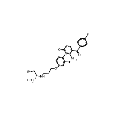 CC(C)C[C@H](NCCCOc1ccc(-n2c(N)c(C(=O)c3ccc(F)cc3)ccc2=O)c(F)c1)C(=O)O